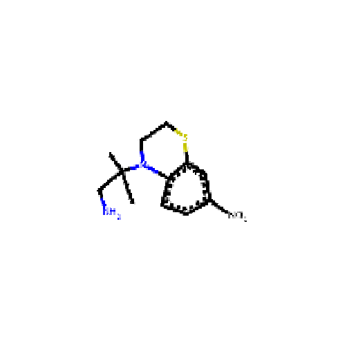 CC(C)(CN)N1CCSc2cc([N+](=O)[O-])ccc21